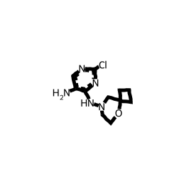 Nc1cnc(Cl)nc1NN1CCOC2(CCC2)C1